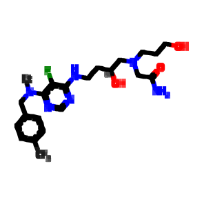 CCN(Cc1ccc(C(F)(F)F)cc1)c1ncnc(NCC[C@H](O)CN(CCCO)CC(N)=O)c1F